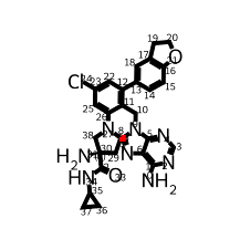 Nc1ncnc2c1ncn2Cc1c(-c2ccc3c(c2)CCO3)cc(Cl)cc1N1CC[C@](N)(C(=O)NC2CC2)C1